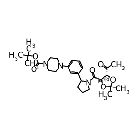 CC(=O)[C@@H]1OC(C)(C)O[C@H]1C(=O)N1CCCC1c1cccc(N2CCN(C(=O)OC(C)(C)C)CC2)c1